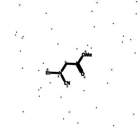 CCN(C#N)CC(=O)OC